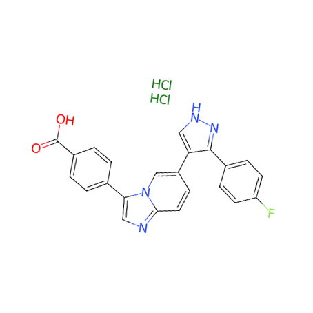 Cl.Cl.O=C(O)c1ccc(-c2cnc3ccc(-c4c[nH]nc4-c4ccc(F)cc4)cn23)cc1